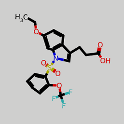 CCOc1ccc2c(CCC(=O)O)cn(S(=O)(=O)c3ccccc3OC(F)(F)F)c2c1